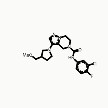 COCC1CCN(c2cnn3c2CN(C(=O)Nc2ccc(F)c(Cl)c2)CC3)C1